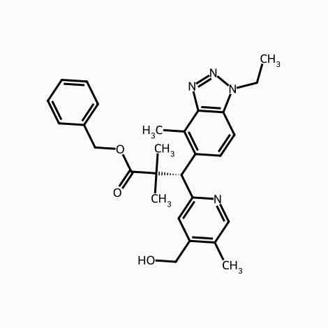 CCn1nnc2c(C)c([C@H](c3cc(CO)c(C)cn3)C(C)(C)C(=O)OCc3ccccc3)ccc21